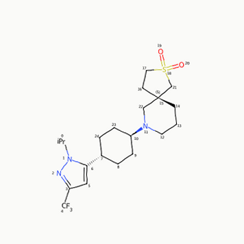 CC(C)n1nc(C(F)(F)F)cc1[C@H]1CC[C@H](N2CCC[C@]3(CCS(=O)(=O)C3)C2)CC1